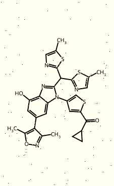 Cc1cnc(C(c2ncc(C)s2)c2nc3c(O)cc(-c4c(C)noc4C)cc3n2-c2csc(C(=O)C3CC3)c2)s1